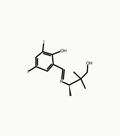 C[C@@H](/N=C/c1cc(I)cc(I)c1O)C(C)(C)CO